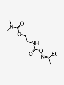 CC/C(C)=N\OC(=O)NCCOC(=O)N(C)C